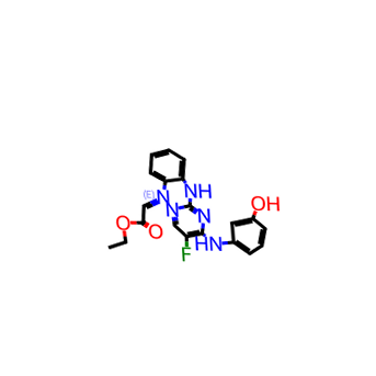 CCOC(=O)/C=N/c1ccccc1Nc1ncc(F)c(Nc2cccc(O)c2)n1